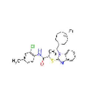 CC[C@H]1CCCC(Cn2c(SC(C)C(=O)Nc3ccc(C)cc3Cl)nc3ccccc32)CC1